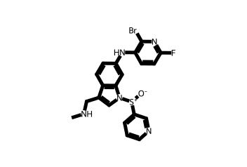 CNCc1cn([S+]([O-])c2cccnc2)c2cc(Nc3ccc(F)nc3Br)ccc12